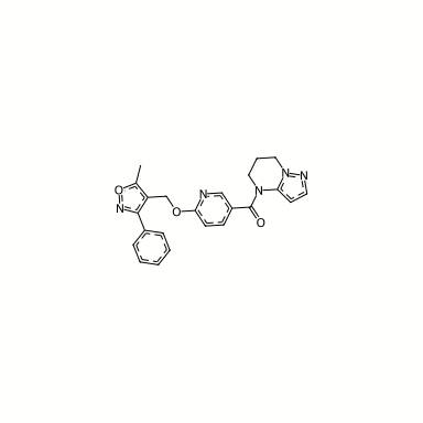 Cc1onc(-c2ccccc2)c1COc1ccc(C(=O)N2CCCn3nccc32)cn1